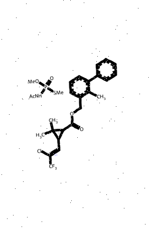 COP(=O)(NC(C)=O)SC.Cc1c(COC(=O)C2C(/C=C(\Cl)C(F)(F)F)C2(C)C)cccc1-c1ccccc1